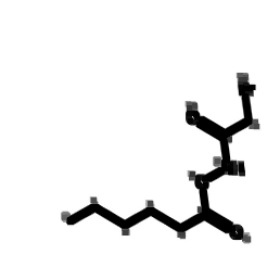 CCCCCC(=O)ONC(=O)CBr